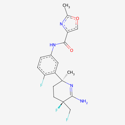 Cc1nc(C(=O)Nc2ccc(F)c([C@]3(C)CC[C@@](F)(CF)C(N)=N3)c2)co1